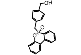 O=P1(Cc2ccc(CO)cc2)Oc2ccccc2-c2ccccc21